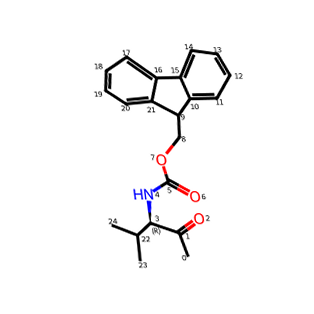 CC(=O)[C@H](NC(=O)OCC1c2ccccc2-c2ccccc21)C(C)C